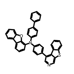 c1ccc(-c2ccc(N(c3ccc(-c4cncc5sc6ccccc6c45)cc3)c3cccc4c3oc3ccccc34)cc2)cc1